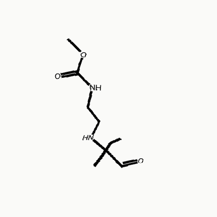 COC(=O)NCCNC(C)(C)C=O